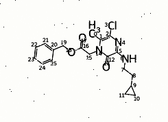 Cc1c(Cl)nc(NCCC2CC2)c(=O)n1CC(=O)OCc1ccccc1